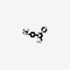 CN(C)C(=O)Nc1ccc(-c2nc(CO)cc(N3CCOCC3)n2)cc1